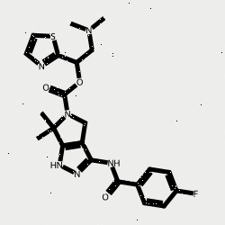 CN(C)CC(OC(=O)N1Cc2c(NC(=O)c3ccc(F)cc3)n[nH]c2C1(C)C)c1nccs1